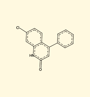 O=c1cc(-c2ccccc2)c2ccc(Cl)cc2[nH]1